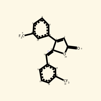 O=C1C=C(c2cccc(C(F)(F)F)c2)/C(=C/c2cccc(C(F)(F)F)c2)O1